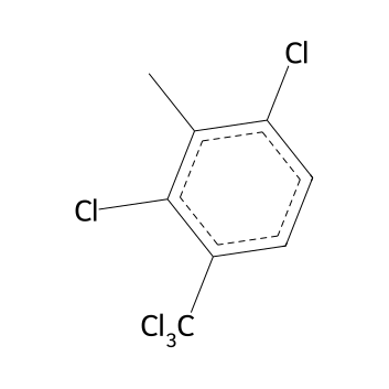 Cc1c(Cl)ccc(C(Cl)(Cl)Cl)c1Cl